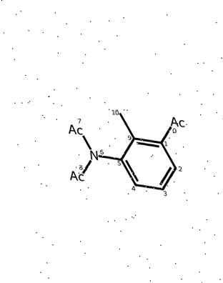 CC(=O)c1cccc(N(C(C)=O)C(C)=O)c1C